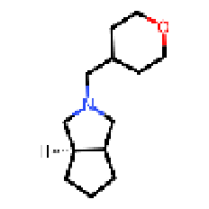 C1CC2CN(CC3CCOCC3)C[C@@H]2C1